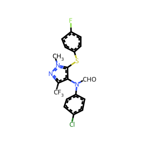 Cn1nc(C(F)(F)F)c(N(C=O)c2ccc(Cl)cc2)c1Sc1ccc(F)cc1